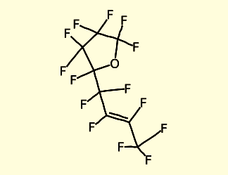 FC(=C(F)C(F)(F)C1(F)OC(F)(F)C(F)(F)C1(F)F)C(F)(F)F